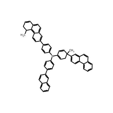 CC1CC=Cc2ccc3cc(-c4ccc(N(C5=CCC(C)(c6ccc7c(ccc8ccccc87)c6)C=C5)c5ccc(-c6ccc7ccccc7c6)cc5)cc4)ccc3c21